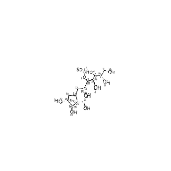 O=S(=O)(O)O[C@@H]([C@H](O)[C@@H](O)[C@@H](O)CO)[C@H](O)CC1C[C@@H](O)[C@H](O)[C@H]1CO